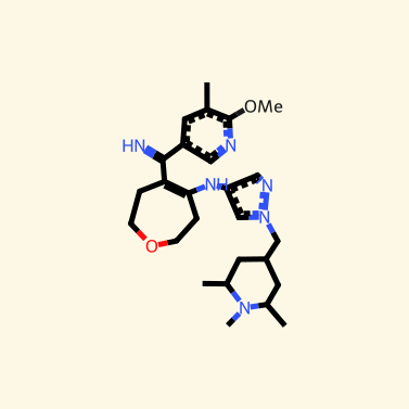 COc1ncc(C(=N)C2=C(Nc3cnn(CC4CC(C)N(C)C(C)C4)c3)CCOCC2)cc1C